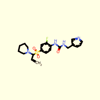 C=CC(N1CCCCC1)S(=O)(=O)c1ccc(NC(=O)NCc2cccnc2)c(F)c1